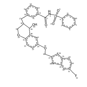 O=C(NS(=O)(=O)c1ccccc1)c1cccc(CC2COc3ccc(OCc4nc5cc(F)ccc5s4)cc3C2O)c1